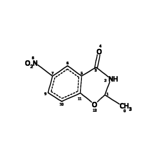 CC1NC(=O)c2cc([N+](=O)[O-])ccc2O1